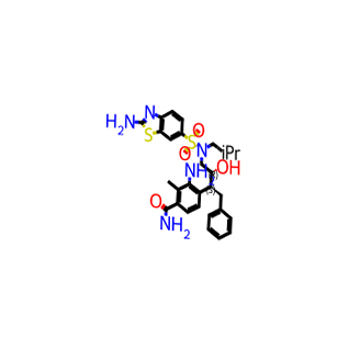 Cc1c(C(N)=O)ccc([C@H](Cc2ccccc2)[C@@H](O)CN(CC(C)C)S(=O)(=O)c2ccc3nc(N)sc3c2)c1N